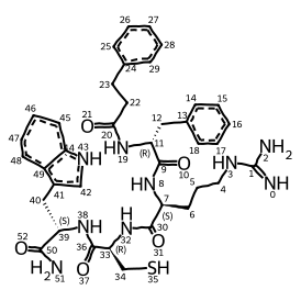 N=C(N)NCCC[C@H](NC(=O)[C@@H](Cc1ccccc1)NC(=O)CCc1ccccc1)C(=O)N[C@@H](CS)C(=O)N[C@@H](Cc1c[nH]c2ccccc12)C(N)=O